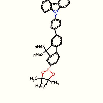 CCCCCCC1(CCCCCC)c2cc(B3OC(C)(C)C(C)(C)O3)ccc2-c2ccc(-c3ccc(-n4c5ccccc5c5ccccc54)cc3)cc21